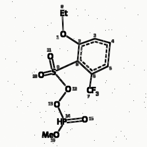 CCOc1cccc(C(F)(F)F)c1S(=O)(=O)OO[PH](=O)OC